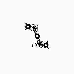 Cc1cc(C)cc(OP(=O)(O)OCc2ccc(COP(=O)(O)Oc3cc(C)cc(C)c3)cc2)c1